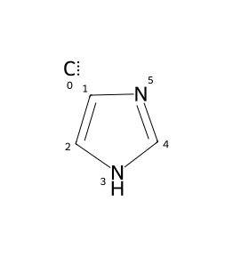 [C].c1c[nH]cn1